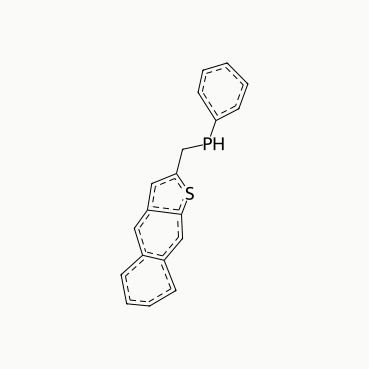 c1ccc(PCc2cc3cc4ccccc4cc3s2)cc1